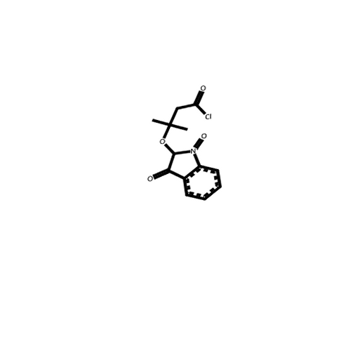 CC(C)(CC(=O)Cl)OC1C(=O)c2ccccc2[N+]1=O